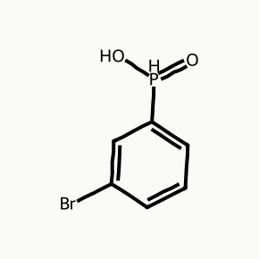 O=[PH](O)c1cccc(Br)c1